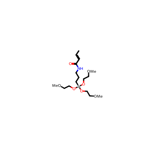 CC=CC(=O)NCCC[Si](OCCOC)(OCCOC)OCCOC